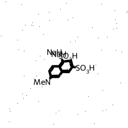 CNc1ccc2c(S(=O)(=O)O)cc(S(=O)(=O)O)cc2c1.[NaH].[NaH]